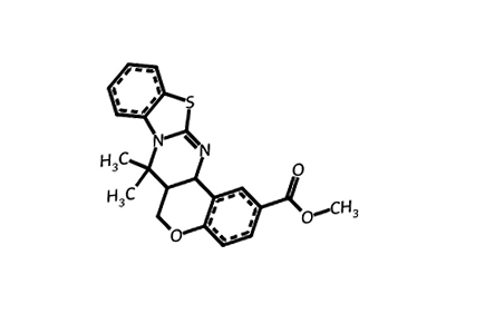 COC(=O)c1ccc2c(c1)C1N=C3Sc4ccccc4N3C(C)(C)C1CO2